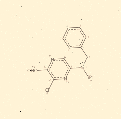 CC(C)N(Cc1ccccc1)c1cnc(C=O)c(Cl)n1